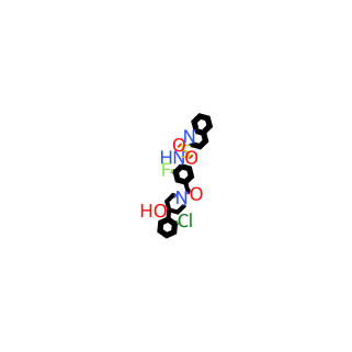 O=C(c1ccc(NS(=O)(=O)c2ccc3ccccc3n2)c(F)c1)N1CCC(O)(c2ccccc2Cl)CC1